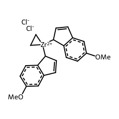 COc1ccc2c(c1)C=C[CH]2[Zr+2]1([CH]2C=Cc3cc(OC)ccc32)[CH2][CH2]1.[Cl-].[Cl-]